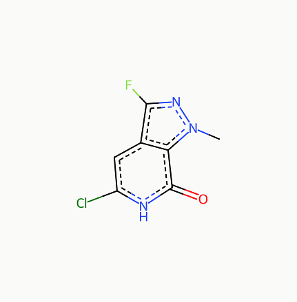 Cn1nc(F)c2cc(Cl)[nH]c(=O)c21